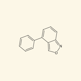 c1ccc(-c2cccc3nocc23)cc1